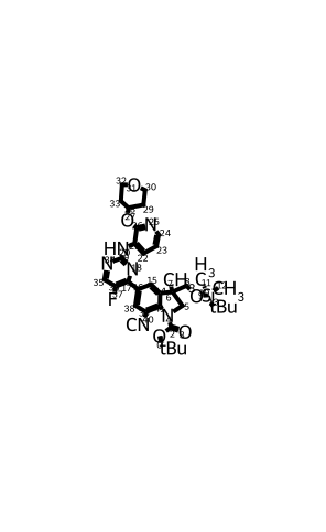 CC(C)(C)OC(=O)N1CC(C)(CO[Si](C)(C)C(C)(C)C)c2cc(-c3nc(Nc4cccnc4OC4CCOCC4)ncc3F)cc(C#N)c21